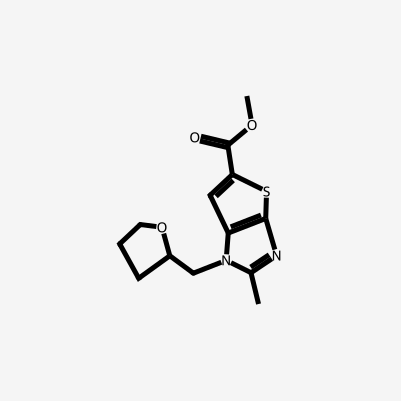 COC(=O)c1cc2c(nc(C)n2CC2CCCO2)s1